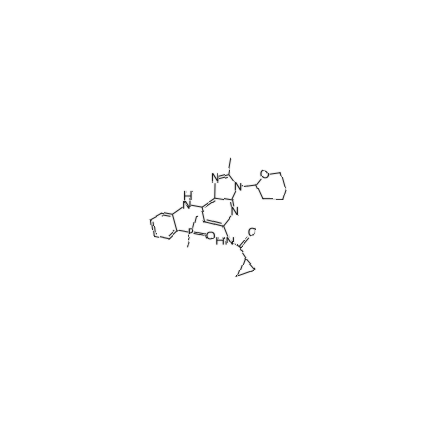 Cc1nc2c(Nc3ccccc3P(C)(C)=O)cc(NC(=O)C3CC3)nc2n1C1CCCCO1